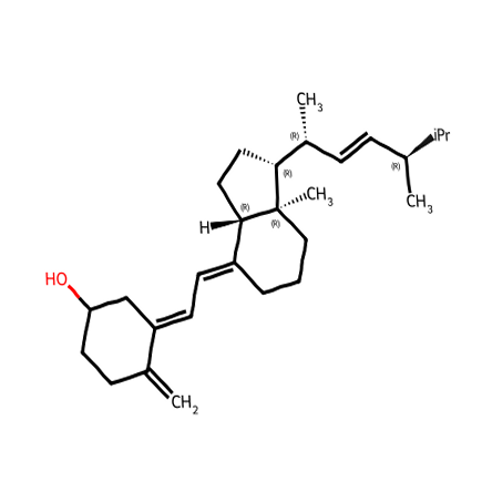 C=C1CCC(O)CC1=CC=C1CCC[C@]2(C)[C@@H]([C@H](C)C=C[C@H](C)C(C)C)CC[C@@H]12